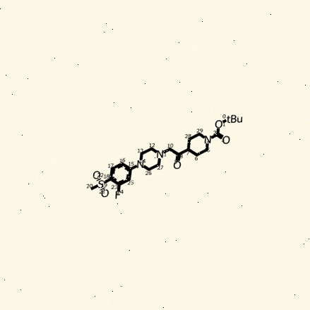 CC(C)(C)OC(=O)N1CCC(C(=O)CN2CCN(c3ccc(S(C)(=O)=O)c(F)c3)CC2)CC1